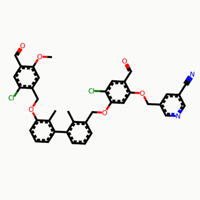 COc1cc(COc2cccc(-c3cccc(COc4cc(OCc5cncc(C#N)c5)c(C=O)cc4Cl)c3C)c2C)c(Cl)cc1C=O